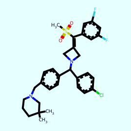 CC1(C)CCCN(Cc2ccc(C(c3ccc(Cl)cc3)N3CC(=C(c4cc(F)cc(F)c4)S(C)(=O)=O)C3)cc2)C1